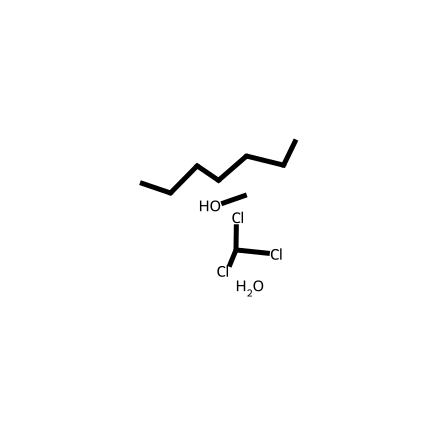 CCCCCCC.CO.ClC(Cl)Cl.O